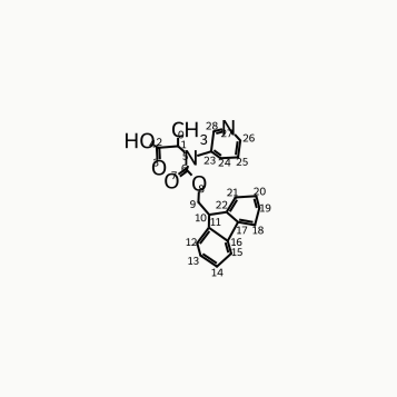 CC(C(=O)O)N(C(=O)OCC1c2ccccc2-c2ccccc21)c1cccnc1